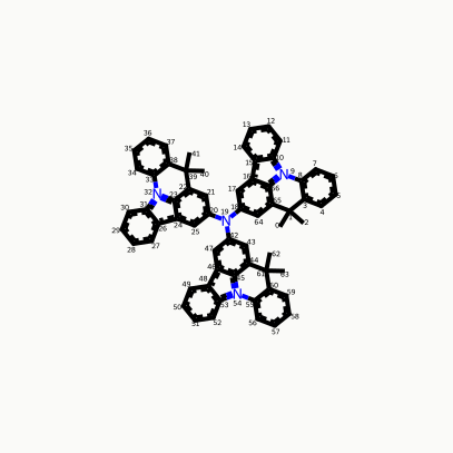 CC1(C)c2ccccc2-n2c3ccccc3c3cc(N(c4cc5c6c(c4)c4ccccc4n6-c4ccccc4C5(C)C)c4cc5c6c(c4)c4ccccc4n6-c4ccccc4C5(C)C)cc1c32